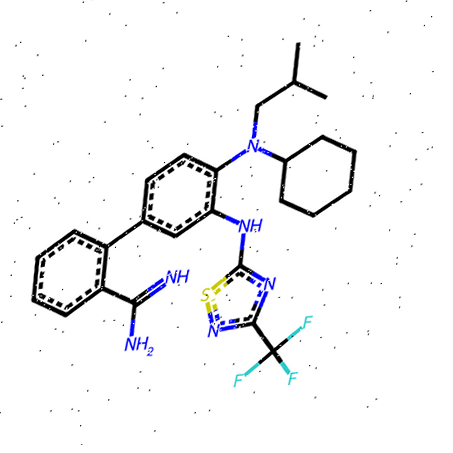 CC(C)CN(c1ccc(-c2ccccc2C(=N)N)cc1Nc1nc(C(F)(F)F)ns1)C1CCCCC1